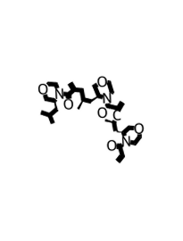 C=CC(=O)N1CCOC[C@H]1C[C@@H](C)CC(=C)C(=O)N1CCOC[C@@H]1C[C@@H](C)CC(=C)C(=O)N1CCOC[C@@H]1CC(C)C